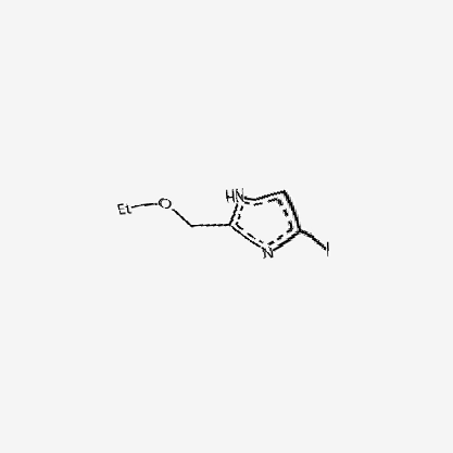 CCOCc1nc(I)c[nH]1